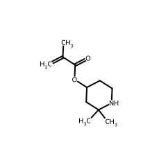 C=C(C)C(=O)OC1CCNC(C)(C)C1